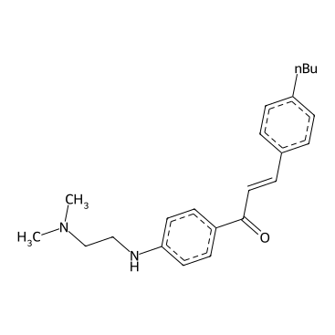 CCCCc1ccc(C=CC(=O)c2ccc(NCCN(C)C)cc2)cc1